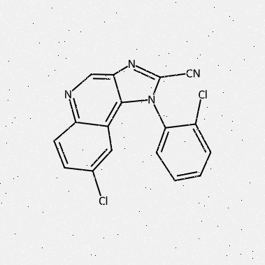 N#Cc1nc2cnc3ccc(Cl)cc3c2n1-c1ccccc1Cl